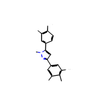 COc1ccc(-c2cc(-c3cc(C)c(C)c(OC)c3)nn2C(C)=O)cc1C(C)(C)C